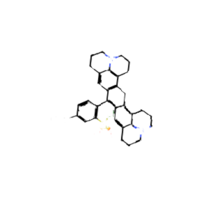 O=S(=O)(O)c1ccc(C2=c3cc4c5c(c3Cc3c2cc2c6c3CCCN6CCC2)CCC[N+]=5CCC4)c(S(=O)(=O)Cl)c1